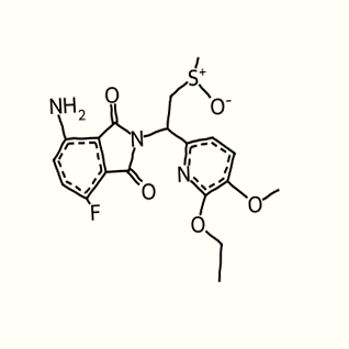 CCOc1nc(C(C[S+](C)[O-])N2C(=O)c3c(N)ccc(F)c3C2=O)ccc1OC